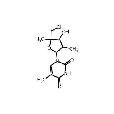 Cc1cn(C2OC(C)(CO)C(O)C2C)c(=O)[nH]c1=O